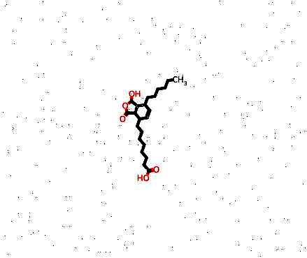 CCCCCCC1C=CC(CCCCCCCC(=O)O)C2C(=O)OC(O)C12